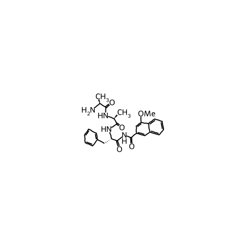 COc1cc(C(=O)NC(=O)[C@H](Cc2ccccc2)NC(=O)[C@H](C)NC(=O)[C@H](C)N)cc2ccccc12